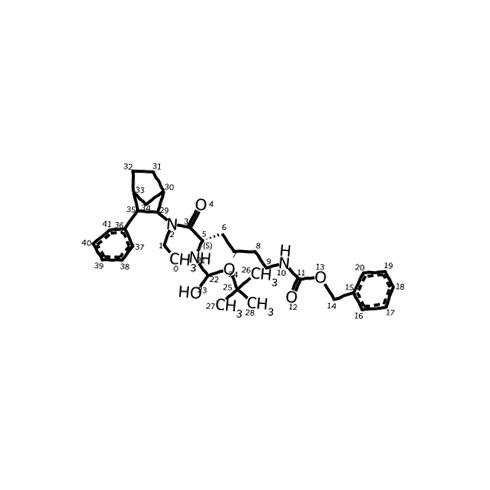 CCN(C(=O)[C@H](CCCCNC(=O)OCc1ccccc1)NC(O)OC(C)(C)C)C1C2CCC(C2)C1c1ccccc1